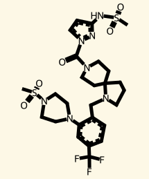 CS(=O)(=O)Nc1ccn(C(=O)N2CCC3(CCCN3Cc3ccc(C(F)(F)F)cc3N3CCN(S(C)(=O)=O)CC3)CC2)n1